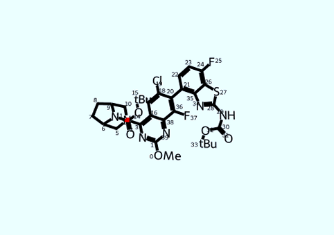 COc1nc(N2CC3CCC(C2)N3C(=O)OC(C)(C)C)c2cc(Cl)c(-c3ccc(F)c4sc(NC(=O)OC(C)(C)C)nc34)c(F)c2n1